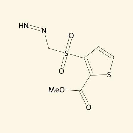 COC(=O)c1sccc1S(=O)(=O)CN=N